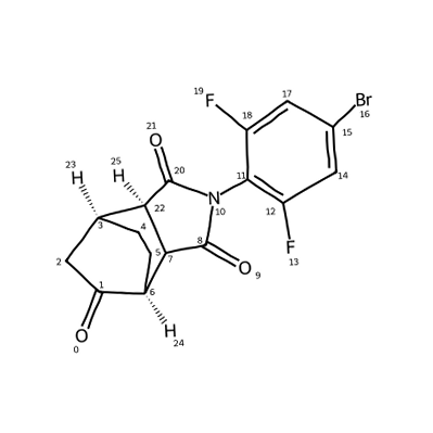 O=C1C[C@@H]2CC[C@H]1C1C(=O)N(c3c(F)cc(Br)cc3F)C(=O)[C@@H]12